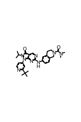 CC(C)n1c(=O)c2cnc(Nc3ccc4c(c3)CCN(C(=O)N(C)C)C4)nc2n1-c1ccnc(C(C)(C)C)c1